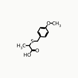 COc1ccc(CSC(C)C(=O)O)cc1